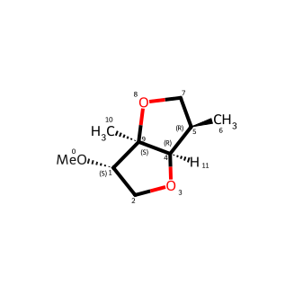 CO[C@H]1CO[C@@H]2[C@H](C)CO[C@]12C